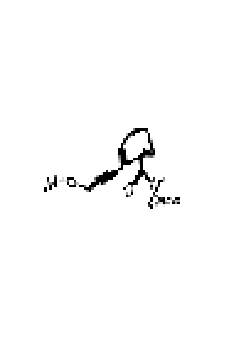 COCC#Cc1ccccc1C(=O)N(C)OC